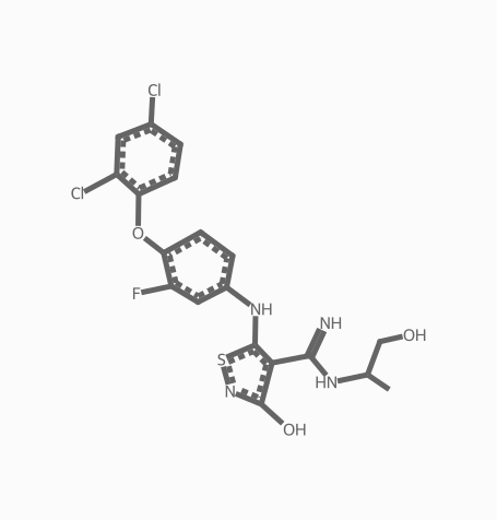 CC(CO)NC(=N)c1c(O)nsc1Nc1ccc(Oc2ccc(Cl)cc2Cl)c(F)c1